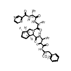 CCCC(NC(=O)C1[C@H]2CC[C@H](F)[C@H]2CN1C(=O)[C@@H](NC(=O)[C@H](NC(=O)c1cnccn1)C(C)C)C(C)C)C(=O)C(=O)N[C@@H](Cc1ccccc1)C(=O)O